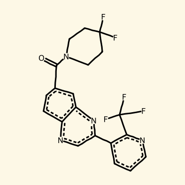 O=C(c1ccc2ncc(-c3cccnc3C(F)(F)F)nc2c1)N1CCC(F)(F)CC1